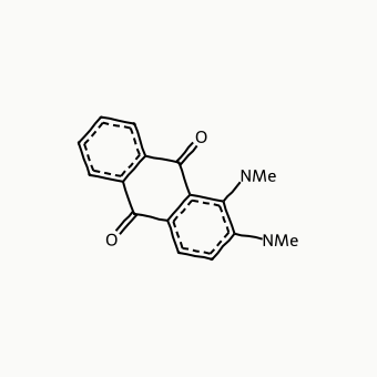 CNc1ccc2c(c1NC)C(=O)c1ccccc1C2=O